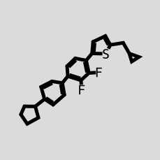 Fc1c(-c2ccc(C3CCCC3)cc2)ccc(-c2ccc(CC3CC3)s2)c1F